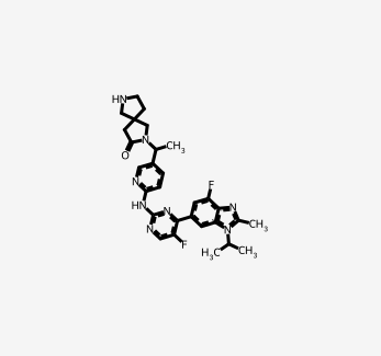 Cc1nc2c(F)cc(-c3nc(Nc4ccc(C(C)N5CC6(CCNC6)CC5=O)cn4)ncc3F)cc2n1C(C)C